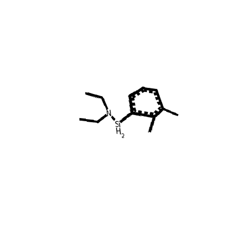 CCN(CC)[SiH2]c1cccc(C)c1C